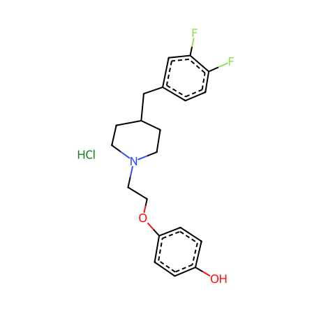 Cl.Oc1ccc(OCCN2CCC(Cc3ccc(F)c(F)c3)CC2)cc1